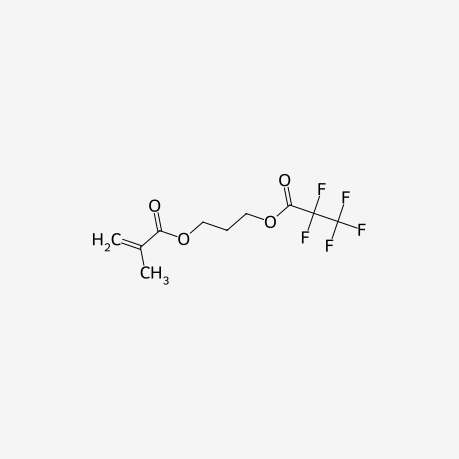 C=C(C)C(=O)OCCCOC(=O)C(F)(F)C(F)(F)F